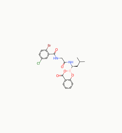 CC(C)C[C@H](NC(=O)CNC(=O)c1cc(Cl)ccc1Br)B1OC(=O)c2ccccc2O1